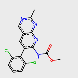 COC(=O)Nc1nc2nc(C)ncc2cc1-c1c(Cl)cccc1Cl